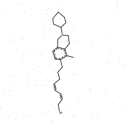 Cc1c(CCC/C=C\C=C/CC(C)C)ccc2c1CCN(C1CCCCC1)C2